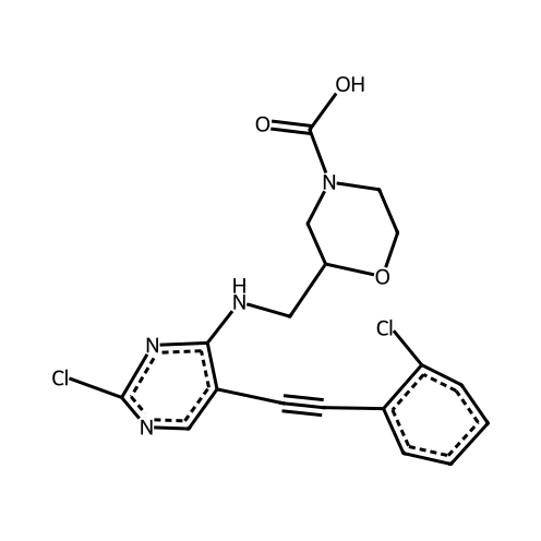 O=C(O)N1CCOC(CNc2nc(Cl)ncc2C#Cc2ccccc2Cl)C1